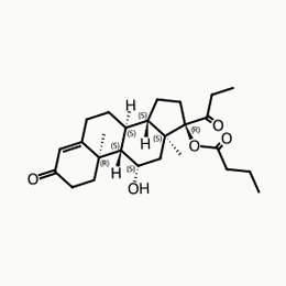 CCCC(=O)O[C@]1(C(=O)CC)CC[C@H]2[C@@H]3CCC4=CC(=O)CC[C@]4(C)[C@H]3[C@@H](O)C[C@@]21C